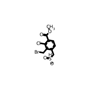 COC(=O)c1ccc(C[SH](=O)=O)c(CBr)c1Cl